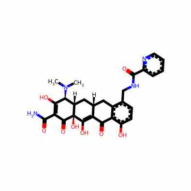 CN(C)[C@@H]1C(O)=C(C(N)=O)C(=O)[C@@]2(O)C(O)=C3C(=O)c4c(O)ccc(CNC(=O)c5ccccn5)c4C[C@H]3C[C@@H]12